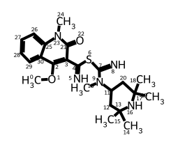 COc1c(C(=N)SC(=N)N(C)C2CC(C)(C)NC(C)(C)C2)c(=O)n(C)c2ccccc12